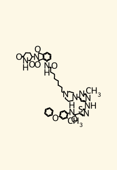 Cc1nc(Nc2ncc(C(=O)Nc3ccc(Oc4ccccc4)cc3C)s2)cc(N2CCCN(CCCCCCCC(=O)Nc3cccc4c3C(=O)N(C3CCC(=O)NC3=O)C4=O)CC2)n1